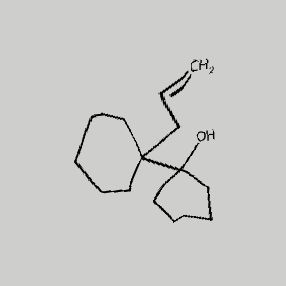 C=CCC1(C2(O)CCCC2)CCCCC1